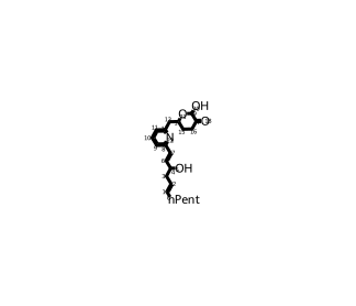 CCCCCC=CCC(O)C=Cc1cccc(CC2CCC(=O)C(O)O2)n1